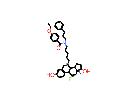 CCOc1ccc(C(=O)N(CCCCC[C@@H]2Cc3cc(O)ccc3C3C2C2CC[C@H](O)[C@@]2(C)C[C@@H]3F)CCCc2ccccc2)cc1